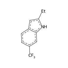 CCc1cc2ccc(C(F)(F)F)cc2[nH]1